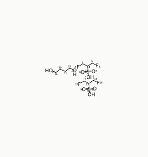 O=S(=O)(O)C(CF)CF.O=S(=O)(O)C(CF)CF.OCCCCO